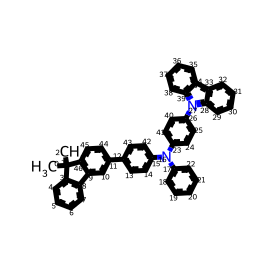 CC1(C)c2ccccc2-c2cc(-c3ccc(N(c4ccccc4)c4ccc(-n5c6ccccc6c6ccccc65)cc4)cc3)ccc21